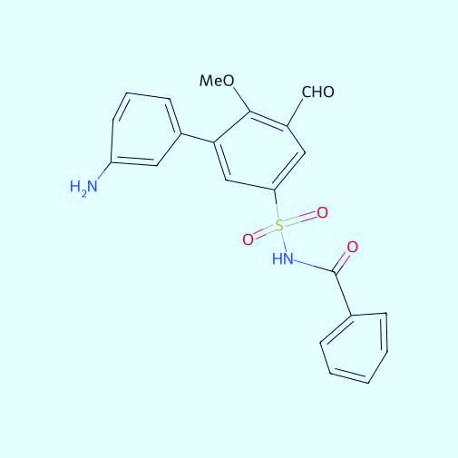 COc1c(C=O)cc(S(=O)(=O)NC(=O)c2ccccc2)cc1-c1cccc(N)c1